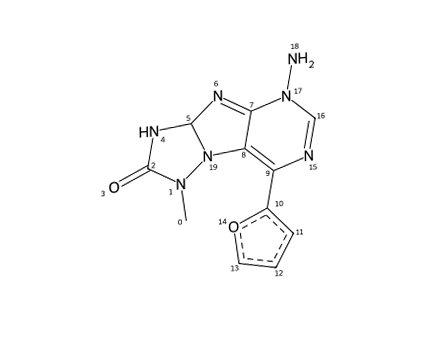 CN1C(=O)NC2N=C3C(=C(c4ccco4)N=CN3N)N21